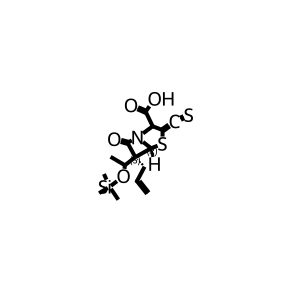 C=CC[C@]1(C(C)O[Si](C)(C)C)C(=O)N2C(C(=O)O)C(=C=S)S[C@@H]21